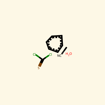 CC#N.O.S=C(Cl)Cl.c1ccccc1